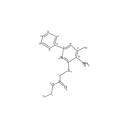 CCOC(=O)CSc1nc(-c2ccccc2)cc(C)c1N